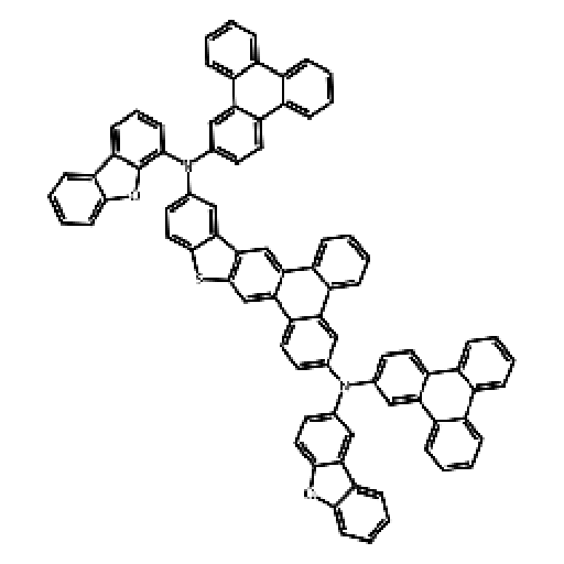 c1ccc2c(c1)oc1ccc(N(c3ccc4c5ccccc5c5ccccc5c4c3)c3ccc4c(c3)c3ccccc3c3cc5c(cc43)sc3ccc(N(c4ccc6c7ccccc7c7ccccc7c6c4)c4cccc6c4oc4ccccc46)cc35)cc12